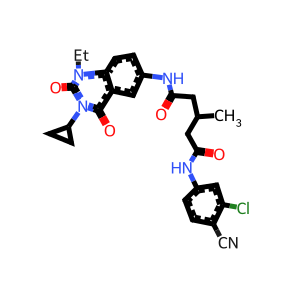 CCn1c(=O)n(C2CC2)c(=O)c2cc(NC(=O)CC(C)CC(=O)Nc3ccc(C#N)c(Cl)c3)ccc21